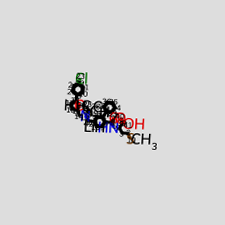 CSCCC(NC(=O)c1ccc(CN(Cc2ccc(-c3ccc(Cl)cc3)o2)C(C)C)cc1-c1ccccc1C)C(=O)O.[LiH]